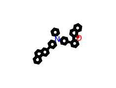 c1ccc(N(c2ccc(-c3ccc4c(ccc5ccccc54)c3)cc2)c2ccc(-c3cccc4oc5c6ccccc6ccc5c34)cc2)cc1